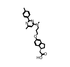 Cc1ccc(-c2nc(C)cc(N(C)CCCOc3ccc4c(c3)CC[C@H]4CC(=O)O)n2)cc1